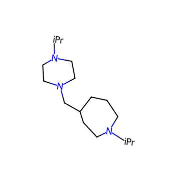 CC(C)N1CCCC(CN2CCN(C(C)C)CC2)CC1